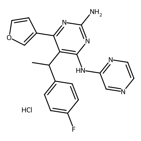 CC(c1ccc(F)cc1)c1c(Nc2cnccn2)nc(N)nc1-c1ccoc1.Cl